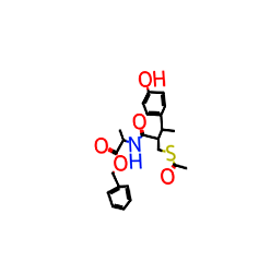 CC(=O)SCC(C(=O)NC(C)C(=O)OCc1ccccc1)C(C)c1ccc(O)cc1